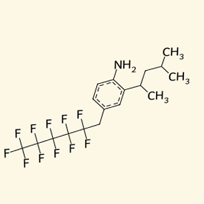 CC(C)CC(C)c1cc(CC(F)(F)C(F)(F)C(F)(F)C(F)(F)C(F)(F)F)ccc1N